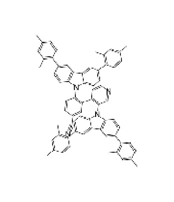 Cc1ccc(-c2ccc3c(c2)c2cc(-c4ccc(C)cc4C)ccc2n3-c2ccc(C#N)cc2-c2ccncc2-n2c3ccc(-c4ccc(C)cc4C)cc3c3cc(-c4ccc(C)cc4C)ccc32)c(C)c1